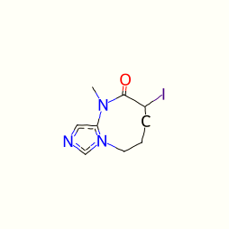 CN1C(=O)C(I)CCCn2cncc21